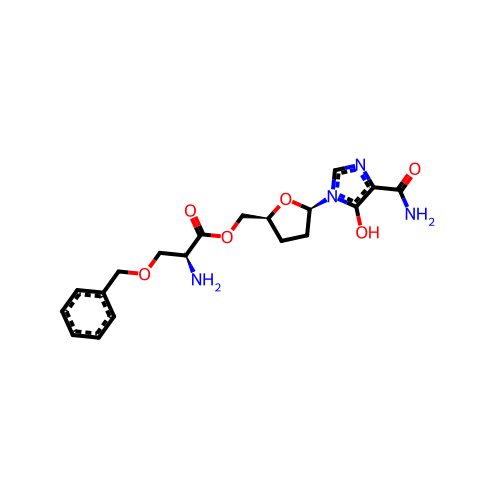 NC(=O)c1ncn([C@H]2CC[C@@H](COC(=O)[C@@H](N)COCc3ccccc3)O2)c1O